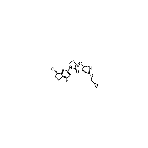 O=C1CCc2c(F)cc(N3CC[C@@H](Oc4ccc(OCC5CC5)nc4)C3=O)cc21